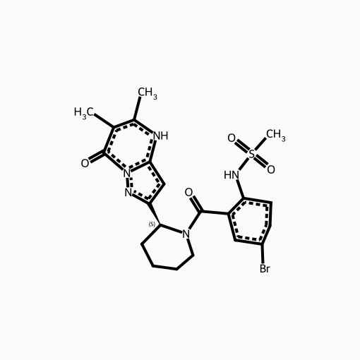 Cc1[nH]c2cc([C@@H]3CCCCN3C(=O)c3cc(Br)ccc3NS(C)(=O)=O)nn2c(=O)c1C